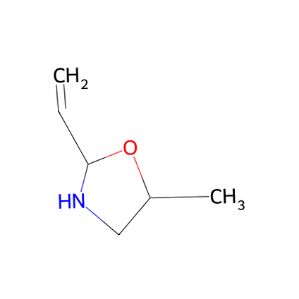 C=CC1NCC(C)O1